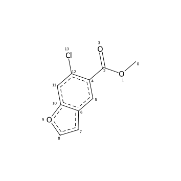 COC(=O)c1cc2ccoc2cc1Cl